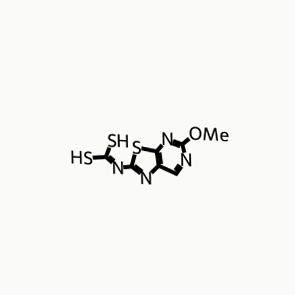 COc1ncc2nc(N=C(S)S)sc2n1